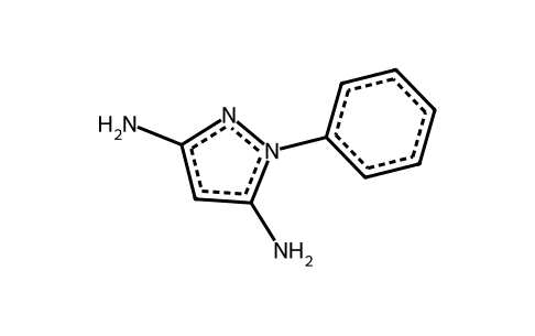 Nc1cc(N)n(-c2ccccc2)n1